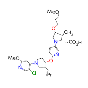 COCCCO[C@H]1CN(c2ccc(OC3CCN(c4cc(OC)ncc4Cl)CC3CC(C)C)nc2)[C@@H](CC(=O)O)[C@@H]1C